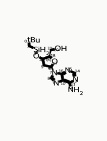 CC(C)(C)C[SiH2]OC1C[C@H](n2cnc3c(N)ncnc32)O[C@@H]1CO